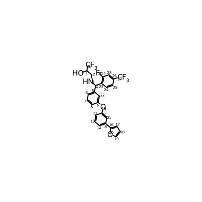 OC(CNC(c1cccc(Oc2cccc(-c3ccco3)c2)c1)c1ccc(C(F)(F)F)cc1F)C(F)(F)F